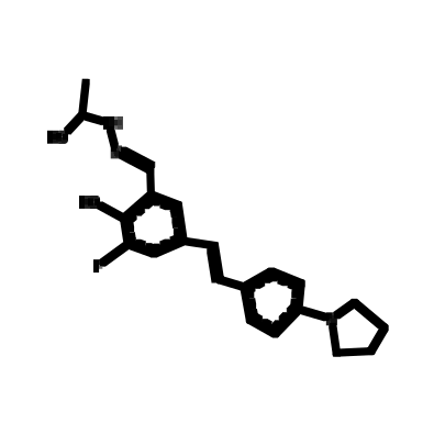 CC(O)N/N=C/c1cc(/C=C/c2ccc(N3CCCC3)cc2)cc(F)c1O